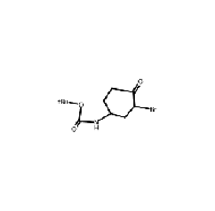 CC(C)(C)OC(=O)NC1CCC(=O)C(Br)C1